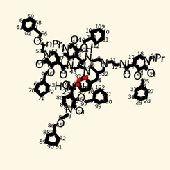 CCCn1ccc(C(=O)NCCN(CCNC(=O)c2ccn(CCC)c(=O)c2OCc2ccccc2)CC(Cc2ccc(N)cc2)CN(CCNC(=O)c2ccn(CCOCc3ccccc3)c(=O)c2OCc2ccccc2)CCNC(=O)c2ccn(CCOCc3ccccc3)c(=O)c2OCc2ccccc2)c(OCc2ccccc2)c1=O